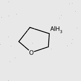 C1CCOC1.[AlH3]